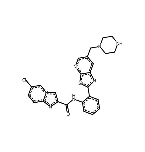 O=C(Nc1ccccc1-c1nc2cc(CN3CCNCC3)cnc2s1)c1cn2cc(Cl)ccc2n1